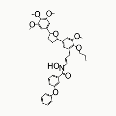 CCCOc1c(C/C=C/N(O)C(=O)c2cccc(Oc3ccccc3)c2)cc(C2CCC(c3cc(OC)c(OC)c(OC)c3)O2)cc1OC